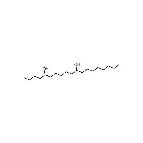 CCCCCCCCC(O)CCCCCC(O)CCCC